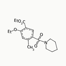 CCOC(=O)c1cc(S(=O)(=O)N2CCCCC2)c(C)cc1OCC